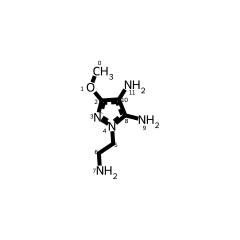 COc1nn(CCN)c(N)c1N